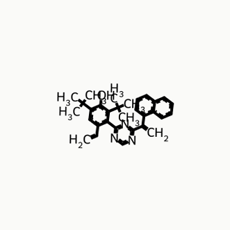 C=Cc1cc(C(C)(C)C)c(O)c(C(C)(C)C)c1-c1ncnc(C(=C)c2cccc3ccccc23)n1